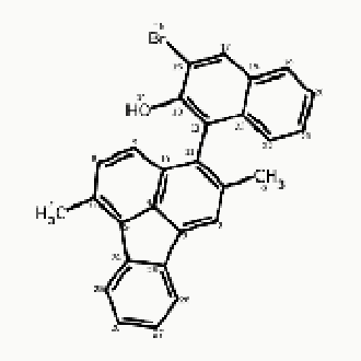 Cc1cc2c3c(c(C)ccc3c1-c1c(O)c(Br)cc3ccccc13)-c1ccccc1-2